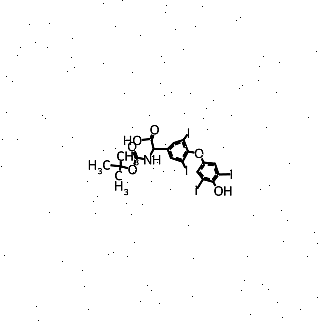 CC(C)(C)OC(=O)NC(C(=O)O)c1cc(I)c(Oc2cc(I)c(O)c(I)c2)c(I)c1